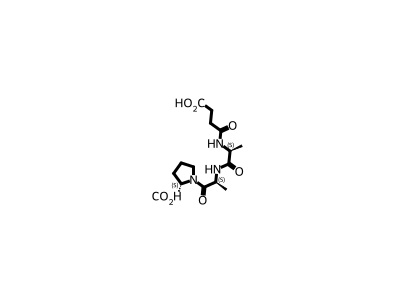 C[C@H](NC(=O)CCC(=O)O)C(=O)N[C@@H](C)C(=O)N1CCC[C@H]1C(=O)O